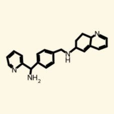 NC(c1ccc(CNC2C=C3C=CC=NC3CC2)cc1)c1ccccn1